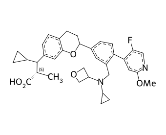 COc1cc(-c2ccc(C3CCc4ccc(C(C5CC5)[C@H](C)C(=O)O)cc4O3)cc2CN(C2CC2)C2COC2)c(F)cn1